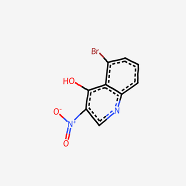 O=[N+]([O-])c1cnc2cccc(Br)c2c1O